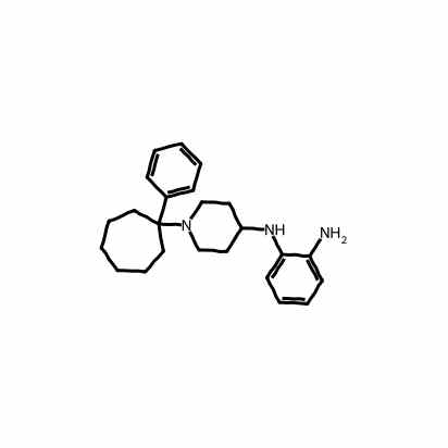 Nc1ccccc1NC1CCN(C2(c3ccccc3)CCCCCC2)CC1